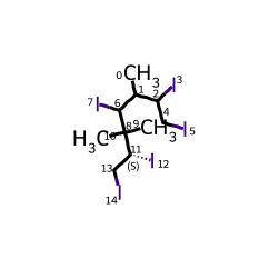 CC(C(I)CI)C(I)C(C)(C)[C@H](I)CI